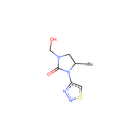 CCCCC1CN(CO)C(=O)N1c1csnn1